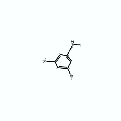 CBc1cc(Br)cc(Br)c1